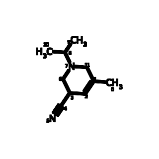 CC1=CC(C#N)CN(C(C)C)C1